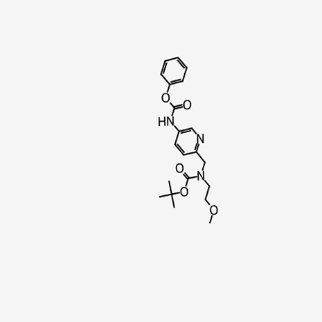 COCCN(Cc1ccc(NC(=O)Oc2ccccc2)cn1)C(=O)OC(C)(C)C